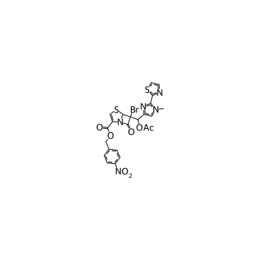 CC(=O)OC(c1cn(C)c(-c2nccs2)n1)C1(Br)C(=O)N2C(C(=O)OCc3ccc([N+](=O)[O-])cc3)=CSC21